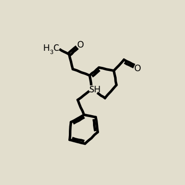 CC(=O)CC1=CC(C=O)CC[SH]1Cc1ccccc1